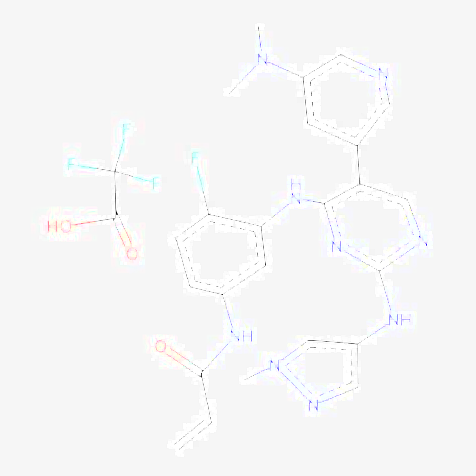 C=CC(=O)Nc1ccc(F)c(Nc2nc(Nc3cnn(C)c3)ncc2-c2cncc(N(C)C)c2)c1.O=C(O)C(F)(F)F